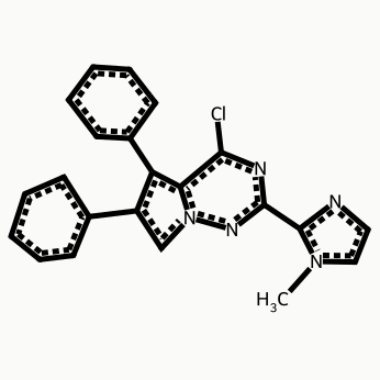 Cn1ccnc1-c1nc(Cl)c2c(-c3ccccc3)c(-c3ccccc3)cn2n1